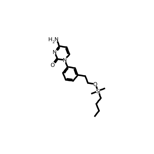 CCCC[Si](C)(C)OCCc1cccc(-n2ccc(N)nc2=O)c1